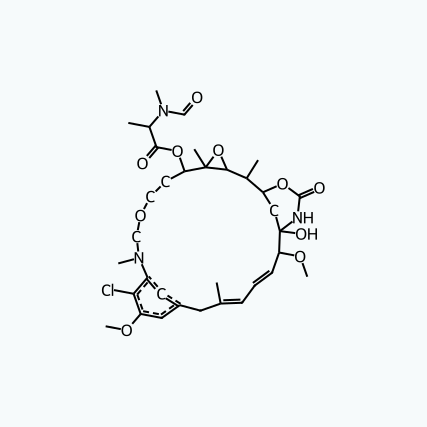 COc1cc2cc(c1Cl)N(C)COCCC(OC(=O)C(C)N(C)C=O)C1(C)OC1C(C)C1CC(O)(NC(=O)O1)C(OC)/C=C/C=C(\C)C2